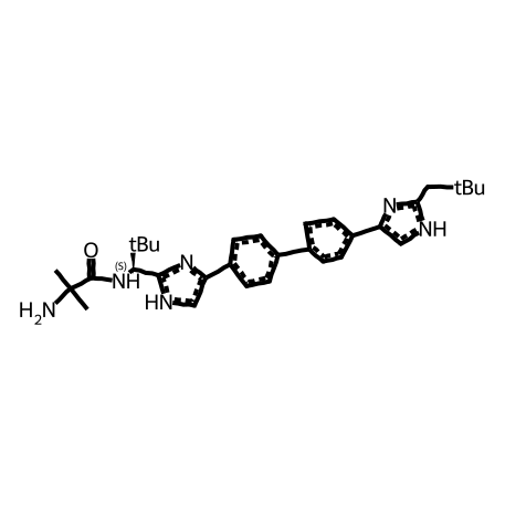 CC(C)(C)Cc1nc(-c2ccc(-c3ccc(-c4c[nH]c([C@@H](NC(=O)C(C)(C)N)C(C)(C)C)n4)cc3)cc2)c[nH]1